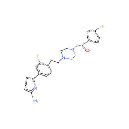 Nc1cccc(-c2ccc(CCN3CCN(CC(=O)c4ccc(F)cc4)CC3)c(F)c2)n1